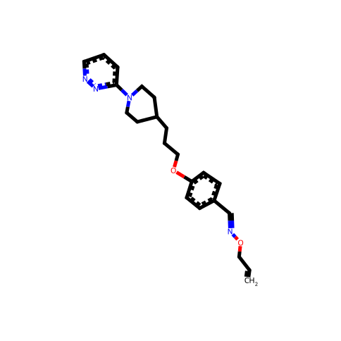 C=CCON=Cc1ccc(OCCCC2CCN(c3cccnn3)CC2)cc1